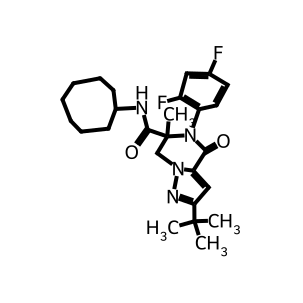 CC(C)(C)c1cc2n(n1)CC(C)(C(=O)NC1CCCCCCC1)N(c1ccc(F)cc1F)C2=O